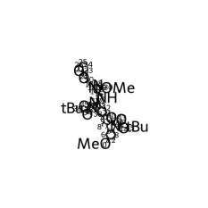 COc1ccc2c(c1)[C@]1(C[C@H]1c1ccc3c(Nc4cn(CCOC5CCCCO5)nc4OC)nn(C(=O)OC(C)(C)C)c3c1)C(=O)N2C(=O)OC(C)(C)C